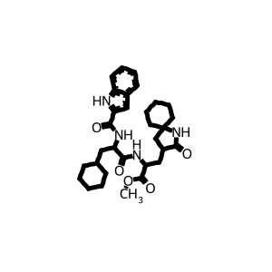 COC(=O)C(CC1CC2(CCCCC2)NC1=O)NC(=O)C(CC1CCCCC1)NC(=O)c1cc2ccccc2[nH]1